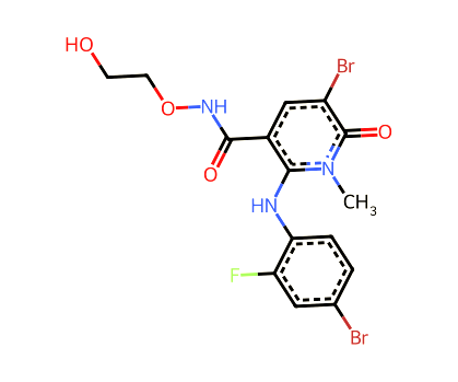 Cn1c(Nc2ccc(Br)cc2F)c(C(=O)NOCCO)cc(Br)c1=O